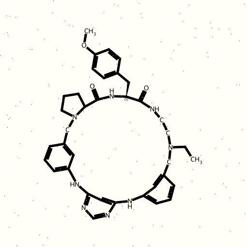 CCN1CCNC(=O)[C@H](Cc2ccc(OC)cc2)NC(=O)C2CCCN2Cc2cccc(c2)Nc2cc(ncn2)Nc2cccc(c2)C1